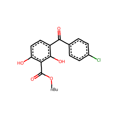 CCCCOC(=O)c1c(O)ccc(C(=O)c2ccc(Cl)cc2)c1O